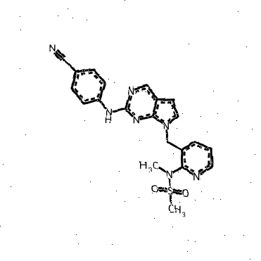 CN(c1ncccc1Cn1ccc2cnc(Nc3ccc(C#N)cc3)nc21)S(C)(=O)=O